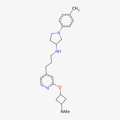 CNC1CC(Oc2cc(CCCNC3CCN(c4ccc(C)cc4)C3)ccn2)C1